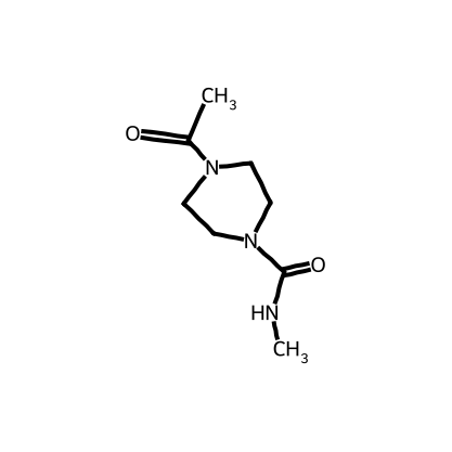 CNC(=O)N1CCN(C(C)=O)CC1